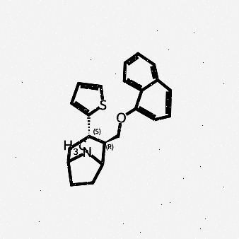 CN1C2CCC1[C@H](COc1cccc3ccccc13)[C@@H](c1cccs1)C2